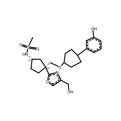 CS(=O)(=O)N[C@H]1CC[C@](COC2CCC(c3cccc(O)c3)CC2)(c2nc(CO)co2)C1